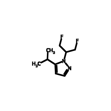 CC(C)c1ccnn1C(CF)CF